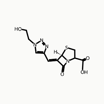 O=C(O)C1CS[C@@H]2/C(=C\c3cn(CCO)nn3)C(=O)N12